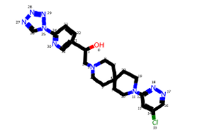 OC(CN1CCC2(CC1)CCN(c1cc(Cl)cnn1)CC2)c1ccc(-n2cnnn2)nc1